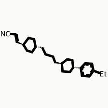 CCc1ccc([C@H]2CC[C@H](CCCC[C@H]3CC[C@H](/C=C/C#N)CC3)CC2)cc1